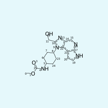 COC(=O)NC1CCC(n2c(CO)nc3cnc4[nH]ccc4c32)CC1